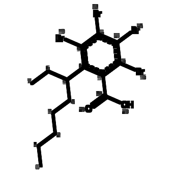 CCCCCC(CC)c1c(Br)c(Br)c(Br)c(Br)c1C(=O)O